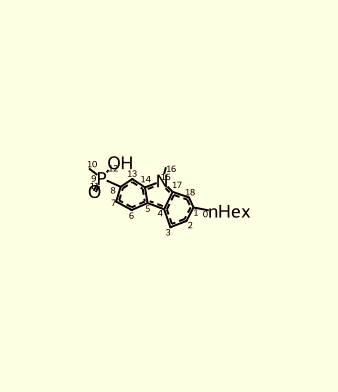 CCCCCCc1ccc2c3ccc(P(C)(=O)O)cc3n(C)c2c1